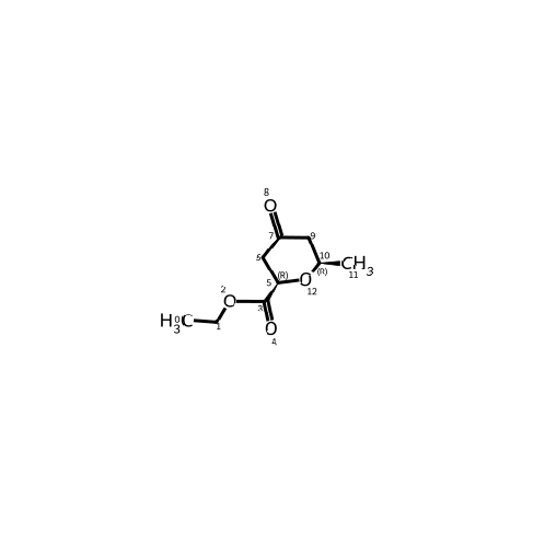 CCOC(=O)[C@H]1CC(=O)C[C@@H](C)O1